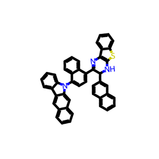 c1ccc2cc(C3Nc4sc5ccccc5c4N=C3c3ccc(-n4c5ccccc5c5cc6ccccc6cc54)c4ccccc34)ccc2c1